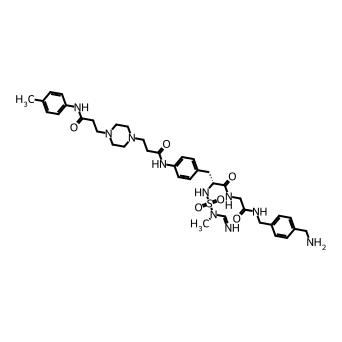 Cc1ccc(NC(=O)CCN2CCN(CCC(=O)Nc3ccc(C[C@@H](NS(=O)(=O)N(C)C=N)C(=O)NCC(=O)NCc4ccc(CN)cc4)cc3)CC2)cc1